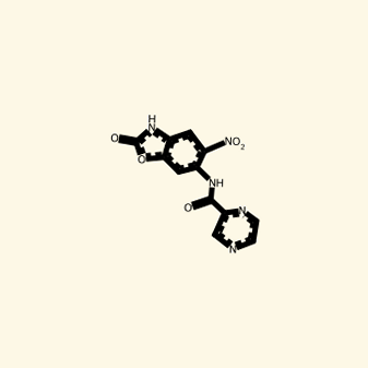 O=C(Nc1cc2oc(=O)[nH]c2cc1[N+](=O)[O-])c1cnccn1